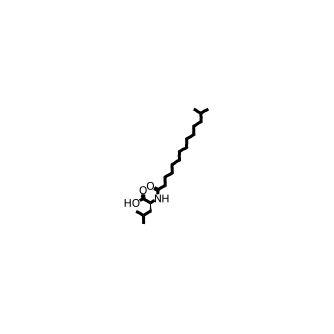 CC(C)CCCCCCCCCCCC(=O)N[C@@H](CC(C)C)C(=O)O